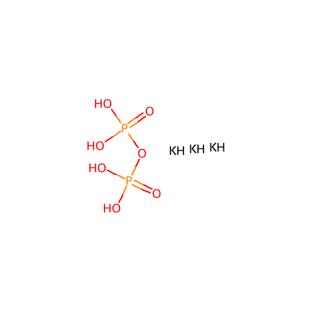 O=P(O)(O)OP(=O)(O)O.[KH].[KH].[KH]